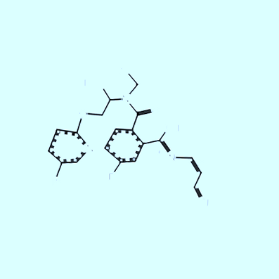 C=C/C=C\N=C(/C)c1cc(F)ccc1C(=O)N(CC)C(C)COc1ccc(Br)cn1